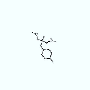 COCC(C)(COC)CC1CCC(C)CC1